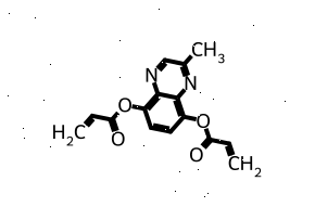 C=CC(=O)Oc1ccc(OC(=O)C=C)c2nc(C)cnc12